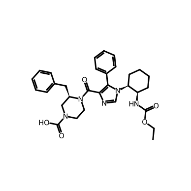 CCOC(=O)N[C@@H]1CCCC[C@@H]1n1cnc(C(=O)N2CCN(C(=O)O)C[C@H]2Cc2ccccc2)c1-c1ccccc1